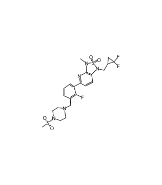 CN1c2nc(-c3cccc(CN4CCN(S(C)(=O)=O)CC4)c3F)ccc2N(CC2CC2(F)F)S1(=O)=O